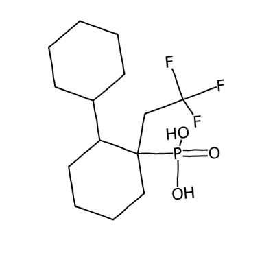 O=P(O)(O)C1(CC(F)(F)F)CCCCC1C1CCCCC1